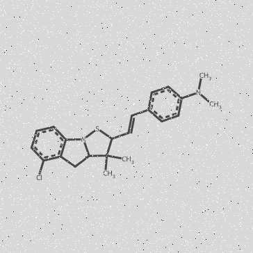 CN(C)c1ccc(C=CC2SN3c4cccc(Cl)c4CC3C2(C)C)cc1